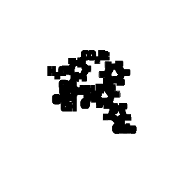 CCOC(=O)N1CCN(C(=O)C(CP(=O)(O)O)NC(=O)c2cc(N3CCC(OC)C3)cc(-c3ccccc3)n2)C(C)C1